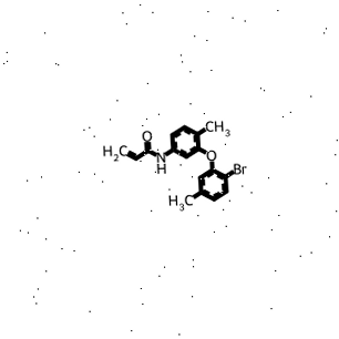 C=CC(=O)Nc1ccc(C)c(Oc2cc(C)ccc2Br)c1